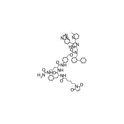 Cc1cccc(-c2nc(CN(Cc3ccccc3-c3ccccc3)C(=O)OCc3ccc(NC(=O)[C@H](CCCNC(N)=O)NC(=O)[C@H](Cc4ccccc4)NC(=O)CCCCCN4C(=O)C=CC4=O)cc3)[nH]c2-c2ccc3ncnn3c2)n1